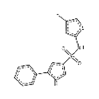 O=S(=O)(Nc1cc(F)cs1)c1c[nH]c(-c2ccccc2)c1